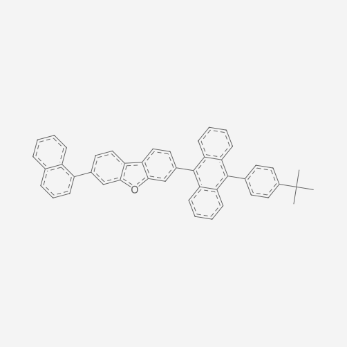 CC(C)(C)c1ccc(-c2c3ccccc3c(-c3ccc4c(c3)oc3cc(-c5cccc6ccccc56)ccc34)c3ccccc23)cc1